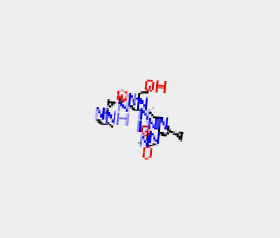 Cc1ccnc([C@H]2C[C@@H]2C(=O)Nc2cc(N[C@H](C)c3cn4cc(C5CC5)cc(N5CC(=O)N(C)C5=O)c4n3)nc(CCO)n2)n1